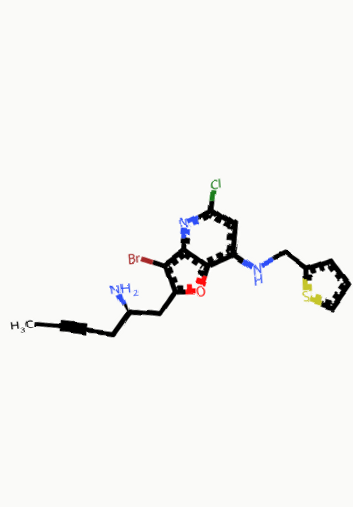 CC#CC[C@@H](N)Cc1oc2c(NCc3cccs3)cc(Cl)nc2c1Br